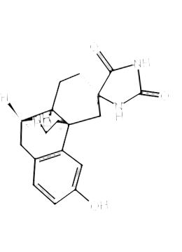 O=C1NC(=O)[C@@]2(CC[C@@]3(O)[C@H]4Cc5ccc(O)cc5[C@@]3(CCN4)C2)N1